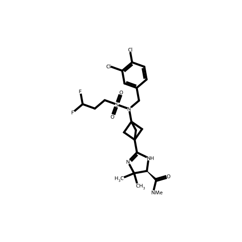 CNC(=O)[C@@H]1NC(C23CC(N(Cc4ccc(Cl)c(Cl)c4)S(=O)(=O)CCC(F)F)(C2)C3)=NC1(C)C